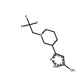 Oc1cc(C2CCCN(CC(F)(F)F)C2)n[nH]1